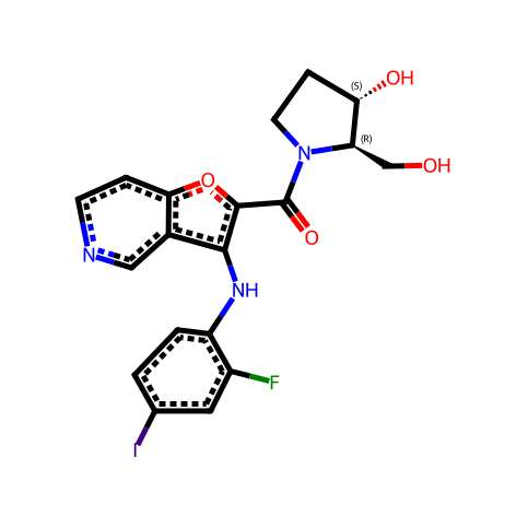 O=C(c1oc2ccncc2c1Nc1ccc(I)cc1F)N1CC[C@H](O)[C@H]1CO